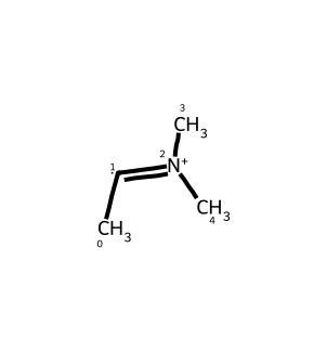 C[C]=[N+](C)C